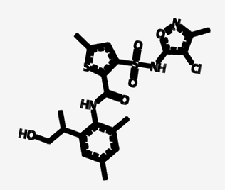 Cc1cc(C)c(NC(=O)c2sc(C)cc2S(=O)(=O)Nc2onc(C)c2Cl)c(C(C)CO)c1